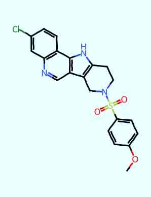 COc1ccc(S(=O)(=O)N2CCc3[nH]c4c(cnc5cc(Cl)ccc54)c3C2)cc1